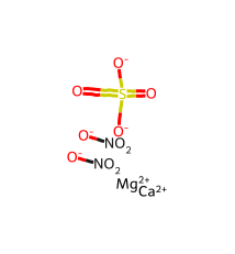 O=S(=O)([O-])[O-].O=[N+]([O-])[O-].O=[N+]([O-])[O-].[Ca+2].[Mg+2]